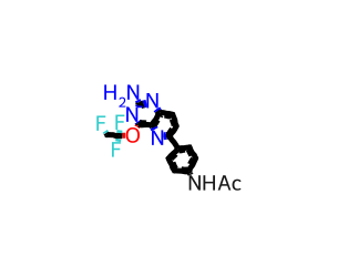 CC(=O)Nc1ccc(-c2ccc3nc(N)nc(OC(F)(F)CF)c3n2)cc1